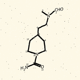 CN(C=O)CCC1CCN(C(N)=O)CC1